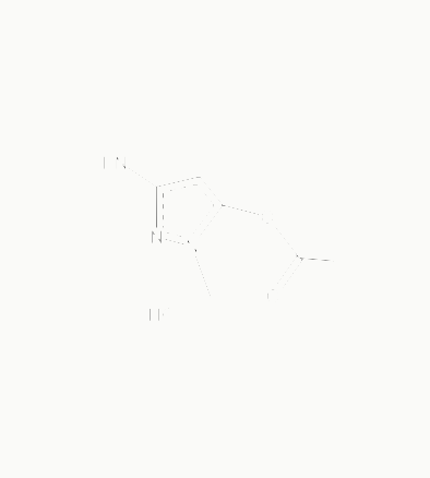 CC(=O)Oc1cc(N)nn1C.Cl